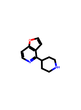 c1cc2occc2c(C2CCNCC2)n1